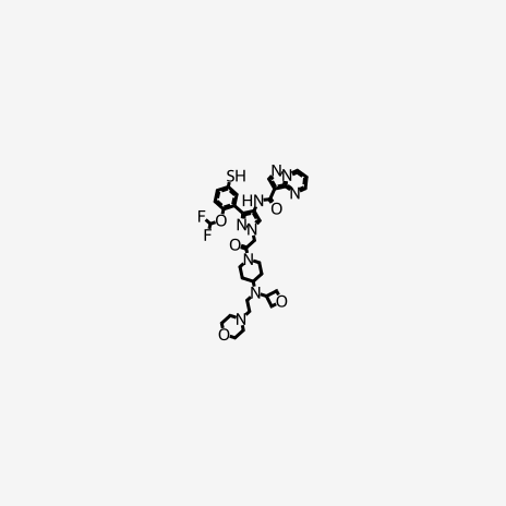 O=C(Nc1cn(CC(=O)N2CCC(N(CCN3CCOCC3)C3COC3)CC2)nc1-c1cc(S)ccc1OC(F)F)c1cnn2cccnc12